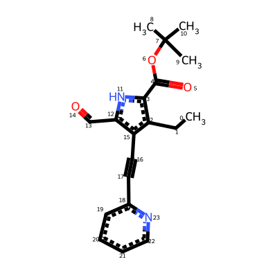 CCc1c(C(=O)OC(C)(C)C)[nH]c(C=O)c1C#Cc1ccccn1